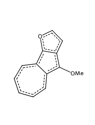 COc1c2cccccc-2c2occc12